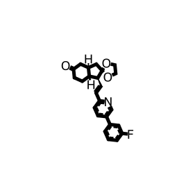 O=C1CC[C@@H]2[C@@H](C1)CC1(OCCO1)[C@H]2/C=C/c1ccc(-c2cccc(F)c2)cn1